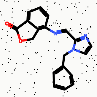 O=C1OCc2c(N=Cc3nccn3Cc3ccccc3)cccc21